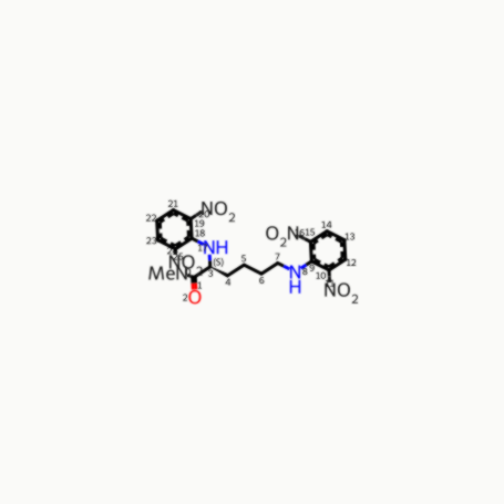 CNC(=O)[C@H](CCCCNc1c([N+](=O)[O-])cccc1[N+](=O)[O-])Nc1c([N+](=O)[O-])cccc1[N+](=O)[O-]